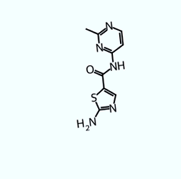 Cc1nccc(NC(=O)c2cnc(N)s2)n1